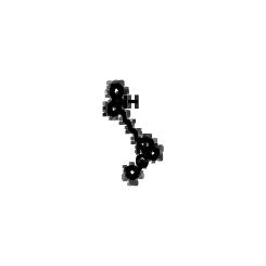 c1ccc(COc2cccc3ccc(CCCCCCc4cccc5c4[nH]c4ccccc45)nc23)cc1